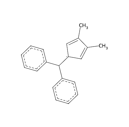 CC1=C[C](C(c2ccccc2)c2ccccc2)C=C1C